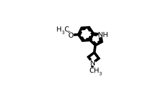 COc1ccc2[nH]cc(C3CN(C)C3)c2c1